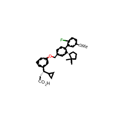 COc1ccc(F)c(-c2ccc(COc3cccc([C@@H](CC(=O)O)C4CC4)c3)cc2[C@@H]2CCCC2(C)C)c1